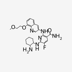 COCCOc1cccc2cc(Nc3nc(NC4CCCCC4N)c(F)cc3C(N)=O)cnc12